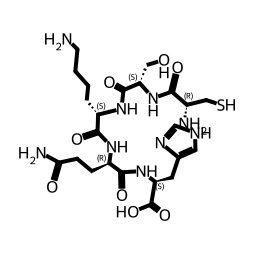 NCCCC[C@H](NC(=O)[C@H](CO)NC(=O)[C@@H](N)CS)C(=O)N[C@H](CCC(N)=O)C(=O)N[C@@H](Cc1c[nH]cn1)C(=O)O